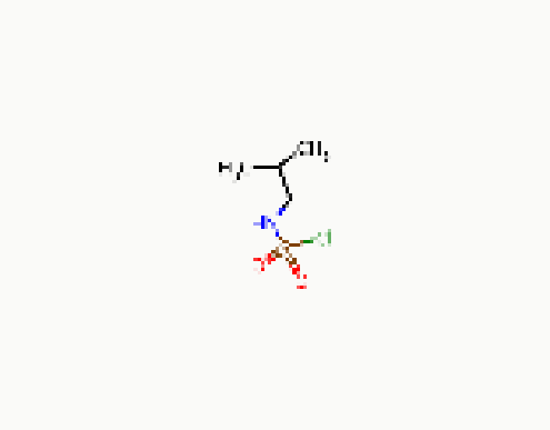 CC(C)CNS(=O)(=O)Cl